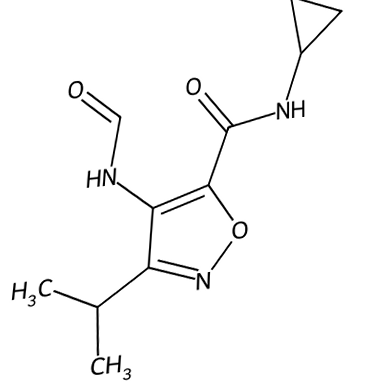 CC(C)c1noc(C(=O)NC2CC2)c1NC=O